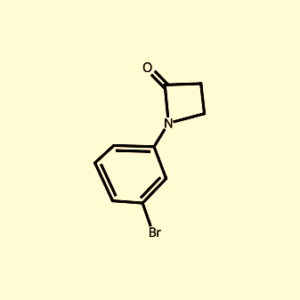 O=C1CCN1c1cccc(Br)c1